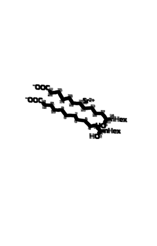 CCCCCCC(O)CCCCCCCCCCC(=O)[O-].CCCCCCC(O)CCCCCCCCCCC(=O)[O-].[Sr+2]